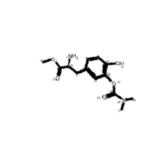 COC(=O)[C@@H](N)Cc1ccc(O)c(OC(=O)N(C)C)c1